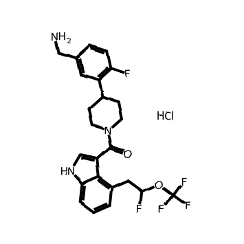 Cl.NCc1ccc(F)c(C2CCN(C(=O)c3c[nH]c4cccc(CC(F)OC(F)(F)F)c34)CC2)c1